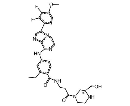 CCc1cc(Nc2nccn3c(-c4ccc(OC)c(F)c4F)cnc23)ccc1C(=O)NCCC(=O)N1CCN[C@H](CO)C1